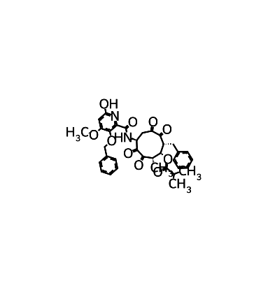 COc1cc(O)nc(C(=O)N[C@H]2CC(=O)C(=O)[C@H](Cc3ccccc3)[C@H](OC(=O)C(C)C)[C@H](C)C(=O)C2=O)c1OCc1ccccc1